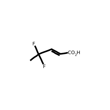 CC(F)(F)C=CC(=O)O